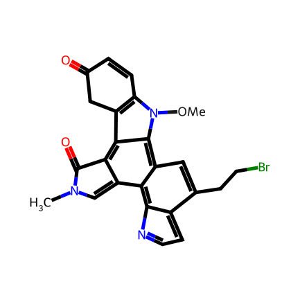 COn1c2c(c3c4c(c5c6c(c(CCBr)cc5c31)=CC=N6)=CN(C)C4=O)CC(=O)C=C2